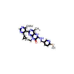 CCSc1ccc(CNc2nc3c(C)nc(-c4c(OC)ncnc4C4CC4)nc3n(CC(C)C)c2=O)cn1